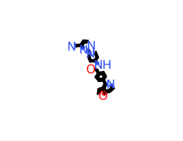 N#Cc1ccnc(N2CCC(NC(=O)c3ccc(-c4nccc5occc45)cc3)CC2)n1